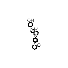 O=C1CCCCN1c1ccc(N2CCC[C@@]3(CCN([C@H]4CC[C@H](O)CC4)C3=O)C2)cc1